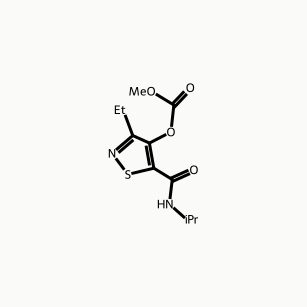 CCc1nsc(C(=O)NC(C)C)c1OC(=O)OC